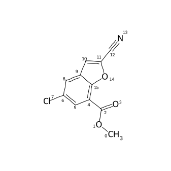 COC(=O)c1cc(Cl)cc2cc(C#N)oc12